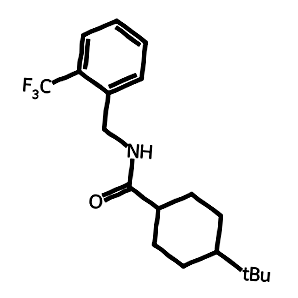 CC(C)(C)C1CCC(C(=O)NCc2ccccc2C(F)(F)F)CC1